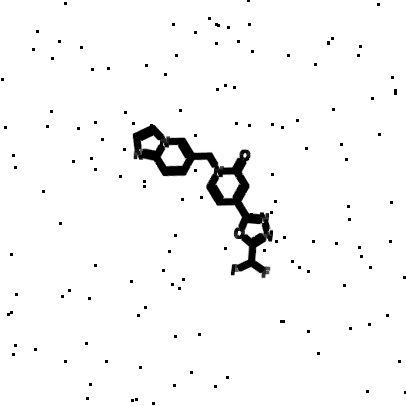 O=c1cc(-c2nnc(C(F)F)o2)ccn1Cc1ccc2nccn2c1